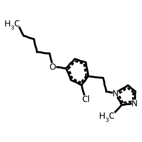 CCCCCOc1ccc(CCn2ccnc2C)c(Cl)c1